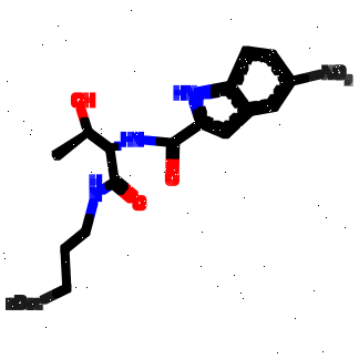 CCCCCCCCCCCCCNC(=O)[C@@H](NC(=O)c1cc2cc([N+](=O)[O-])ccc2[nH]1)[C@@H](C)O